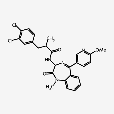 COc1ccc(C2=NC(NC(=O)C(C)Cc3ccc(Cl)c(Cl)c3)C(=O)N(C)c3ccccc32)cn1